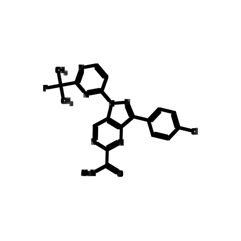 CNC(=O)c1ncc2c(n1)c(-c1ccc(Cl)cc1)nn2-c1ccnc(C(C)(C)F)n1